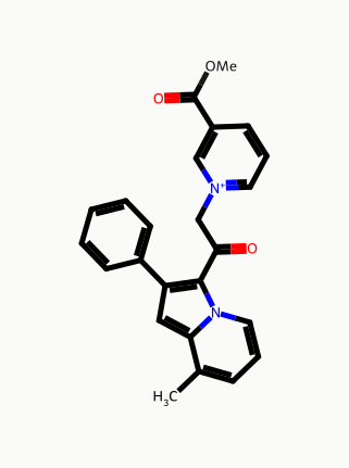 COC(=O)c1ccc[n+](CC(=O)c2c(-c3ccccc3)cc3c(C)cccn23)c1